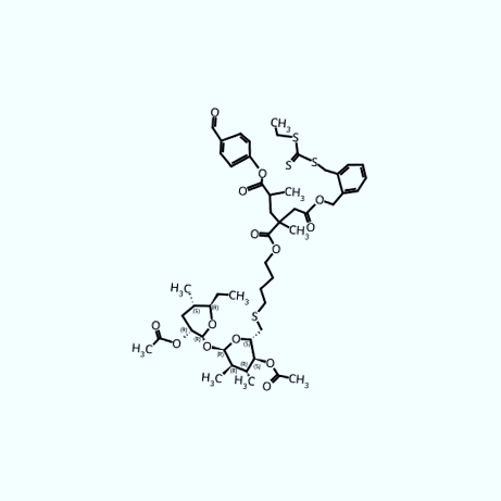 CCSC(=S)SCc1ccccc1COC(=O)CC(C)(CC(C)C(=O)Oc1ccc(C=O)cc1)C(=O)OCCCCSC[C@H]1O[C@H](O[C@H]2O[C@H](CC)[C@@H](C)C[C@H]2OC(C)=O)[C@H](C)[C@@H](C)[C@@H]1OC(C)=O